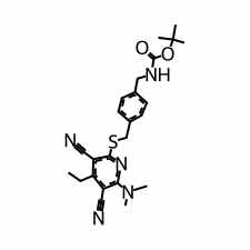 CCc1c(C#N)c(SCc2ccc(CNC(=O)OC(C)(C)C)cc2)nc(N(C)C)c1C#N